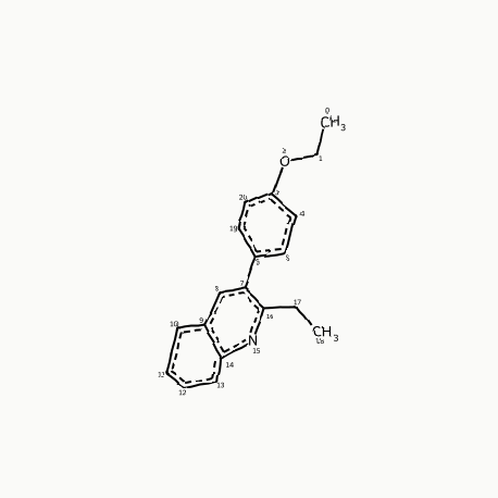 CCOc1ccc(-c2cc3ccccc3nc2CC)cc1